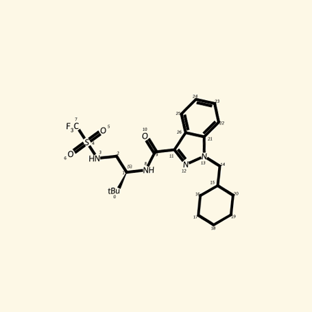 CC(C)(C)[C@@H](CNS(=O)(=O)C(F)(F)F)NC(=O)c1nn(CC2CCCCC2)c2ccccc12